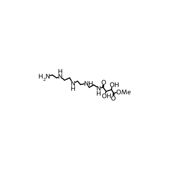 COC(=O)C(O)C(O)C(=O)NCCNCCNCCNCCN